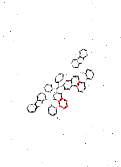 c1ccc(-c2ccccc2N(c2ccc3cc4c(cc3c2)C2(c3ccccc3-c3ccccc32)c2cc(N(c3ccccc3-c3ccccc3)c3cccc5c3oc3ccccc35)c3ccccc3c2-4)c2cccc3c2oc2ccccc23)cc1